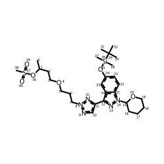 CC(CCOCCCn1ncc(-c2nn(C3CCCCO3)c3ccc(O[Si](C)(C)C(C)(C)C)cc23)n1)OS(C)(=O)=O